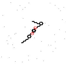 CCCCCCC1CCC(COc2ccc(OCCCC3CCCCC3CCCCC)cc2)CC1